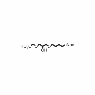 CCCCCCCCCCCCCOCC(O)COCC(=O)O